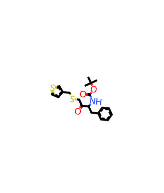 CC(C)(C)OC(=O)NC(Cc1ccccc1)C(=O)CSCc1ccsc1